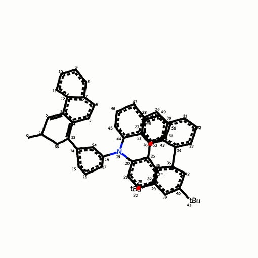 CC1C=c2c(ccc3ccccc23)=C(c2cccc(N(c3ccccc3-c3cccc4cccc(-c5cc(C(C)(C)C)cc(C(C)(C)C)c5)c34)c3cccc4ccccc34)c2)C1